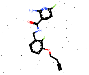 C#CCCOc1cccc(CNC(=O)c2ccc(F)nc2N)c1F